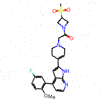 COc1ccc(F)cc1-c1ccnc2[nH]c(C3=CCN(CC(=O)N4CC(S(C)(=O)=O)C4)CC3)cc12